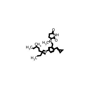 CCCC1(CCC(C)CC)CN(c2ccc(C=C3CC3)c(CN(C)C3CCC(=O)NC3=O)c2)C1